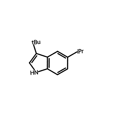 CC(C)c1ccc2[nH]cc(C(C)(C)C)c2c1